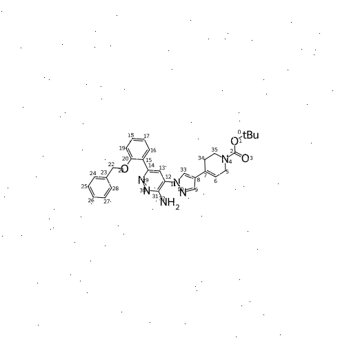 CC(C)(C)OC(=O)N1CC=C(c2cnn(-c3cc(-c4ccccc4OCc4ccccc4)nnc3N)c2)CC1